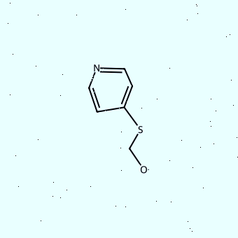 [O]CSc1ccncc1